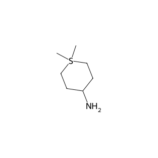 CS1(C)CCC(N)CC1